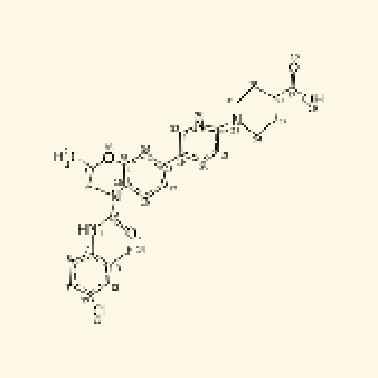 CC1CN(C(=O)Nc2ccc(Cl)cc2F)c2ccc(-c3ccc(N4CCC(C(=O)O)CC4)nc3)cc2O1